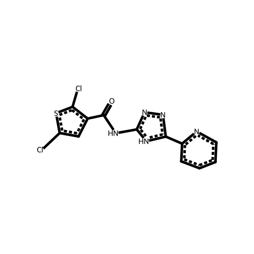 O=C(Nc1nnc(-c2ccccn2)[nH]1)c1cc(Cl)sc1Cl